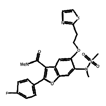 CNC(=O)c1c(-c2ccc(F)cc2)oc2cc(N(C)S(C)(=O)=O)c(OCCc3nccs3)cc12